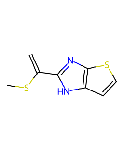 C=C(SC)c1nc2sccc2[nH]1